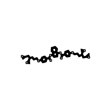 O=C(Oc1ccc(OC(=O)c2ccc(OCCCC(CC3CO3)C3CO3)cc2)c2ccccc12)c1ccc(OCCCC(CC2CO2)C2CO2)cc1